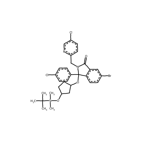 CC(C)(C)[Si](C)(C)OC1CCC(OC2(c3ccc(Cl)cc3)c3ccc(Br)cc3C(=O)N2Cc2ccc(Cl)cn2)C1